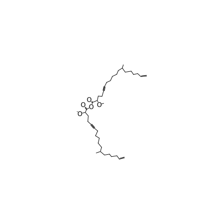 C=CCCCCC(C)CCCCCC#CCCC(OC)C(=O)OC(=O)C(CCC#CCCCCCC(C)CCCCC=C)OC